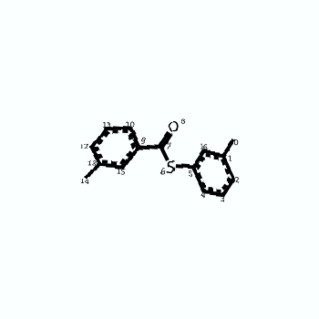 Cc1cccc(SC(=O)c2cccc(C)c2)c1